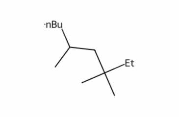 CCC[CH]C(C)CC(C)(C)CC